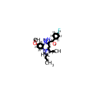 C#C/C(C)=C1\Cc2c(C(=O)c3ccc(F)cc3)nnn2-c2cc(OC)ccc2N1/C=C/CCC